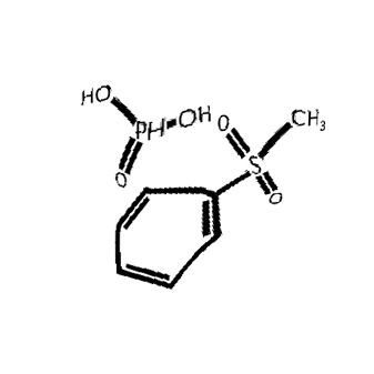 CS(=O)(=O)c1ccccc1.O=[PH](O)O